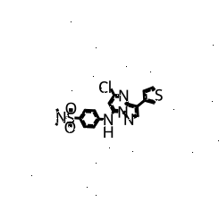 CN(C)S(=O)(=O)c1ccc(Nc2cc(Cl)nc3c(-c4ccsc4)cnn23)cc1